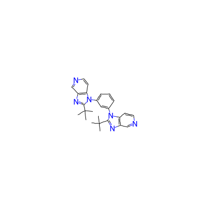 CC(C)(C)c1nc2cnccc2n1-c1cccc(-n2c(C(C)(C)C)nc3cnccc32)c1